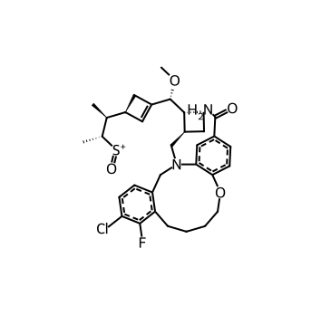 CO[C@@H](C1=C[C@@H]([C@H](C)[C@@H](C)[S+]=O)C1)[C@@H]1CC[C@H]1CN1Cc2ccc(Cl)c(F)c2CCCCOc2ccc(C(N)=O)cc21